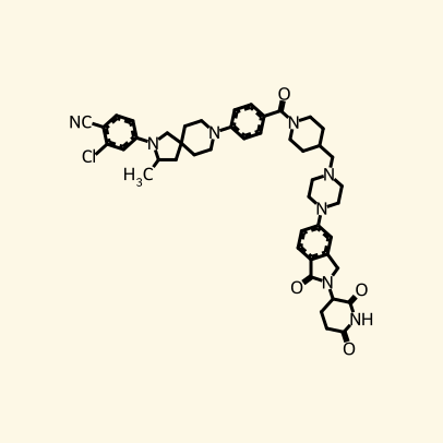 CC1CC2(CCN(c3ccc(C(=O)N4CCC(CN5CCN(c6ccc7c(c6)CN(C6CCC(=O)NC6=O)C7=O)CC5)CC4)cc3)CC2)CN1c1ccc(C#N)c(Cl)c1